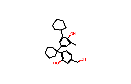 Cc1cc(C2(c3ccc(CO)cc3O)CCCCC2)cc(C2CCCCC2)c1O